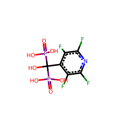 O=P(O)(O)C(O)(c1c(F)c(F)nc(F)c1F)P(=O)(O)O